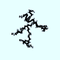 CCC(C)(CC)CNCCN(CCN(CCN)CCN)CCN(CCNCCN)CCNCCN(CCN)CC(C)(CC)CC